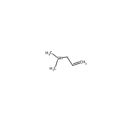 C=C[CH][SiH](C)C